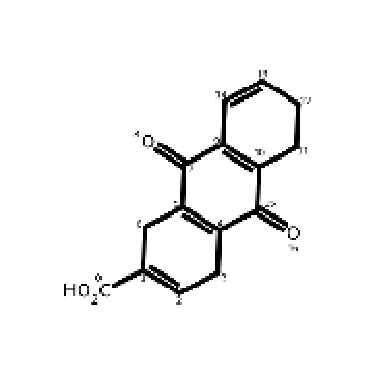 O=C(O)C1=CCC2=C(C1)C(=O)C1=C(CCC=C1)C2=O